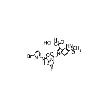 CC(=O)c1cn(CC(=O)N2C[C@H](F)C[C@H]2C(=O)Nc2cccc(Br)n2)c2ccc(S(C)(=N)=O)cc12.Cl